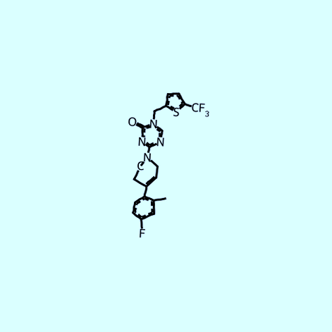 Cc1cc(F)ccc1C1=CCN(c2ncn(Cc3ccc(C(F)(F)F)s3)c(=O)n2)CC1